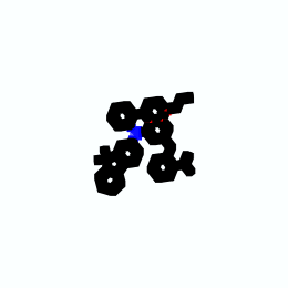 C=C/C=C/c1cc(Cc2ccccc2C(=C)C)cc(N(c2ccc3c(c2)C(C)(C)c2ccccc2-3)c2ccccc2-c2ccccc2)c1